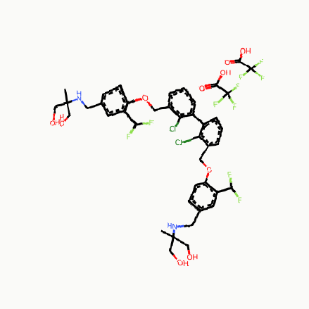 CC(CO)(CO)NCc1ccc(OCc2cccc(-c3cccc(COc4ccc(CNC(C)(CO)CO)cc4C(F)F)c3Cl)c2Cl)c(C(F)F)c1.O=C(O)C(F)(F)F.O=C(O)C(F)(F)F